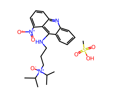 CC(C)[N+]([O-])(CCCNc1c2ccccc2nc2cccc([N+](=O)[O-])c12)C(C)C.CS(=O)(=O)O